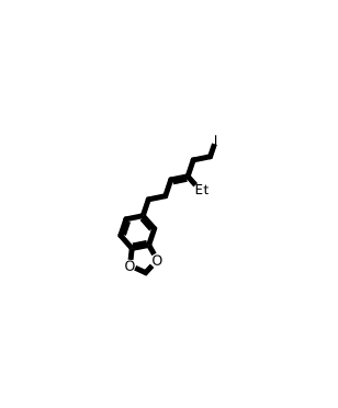 CC/C(=C\CCc1ccc2c(c1)OCO2)CCI